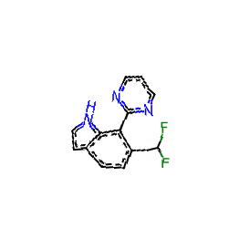 FC(F)c1ccc2cc[nH]c2c1-c1ncccn1